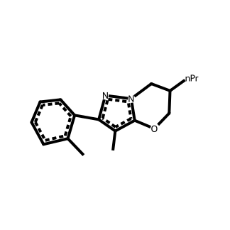 CCCC1COc2c(C)c(-c3ccccc3C)nn2C1